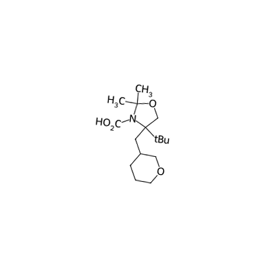 CC1(C)OCC(CC2CCCOC2)(C(C)(C)C)N1C(=O)O